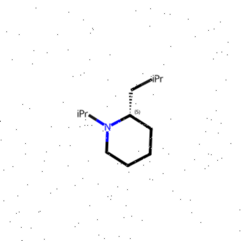 CC(C)C[C@@H]1CCCCN1C(C)C